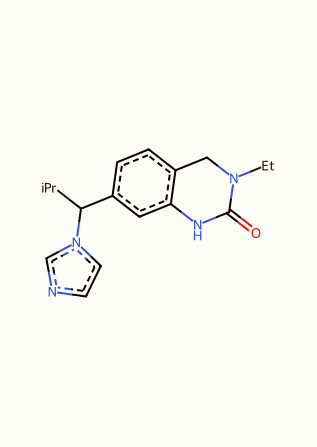 CCN1Cc2ccc(C(C(C)C)n3ccnc3)cc2NC1=O